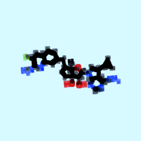 Nc1nc2cc(C[C@@H]3CC[C@@]4(O)[C@@H]3O[C@@H](n3cc(C5CC5)c5c(N)ncnc53)[C@@H]4O)ccc2cc1F